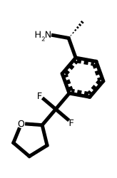 C[C@@H](N)c1cccc(C(F)(F)C2CCCO2)c1